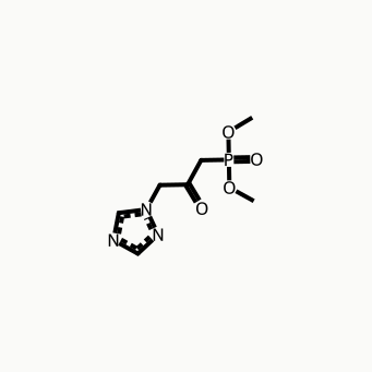 COP(=O)(CC(=O)Cn1cncn1)OC